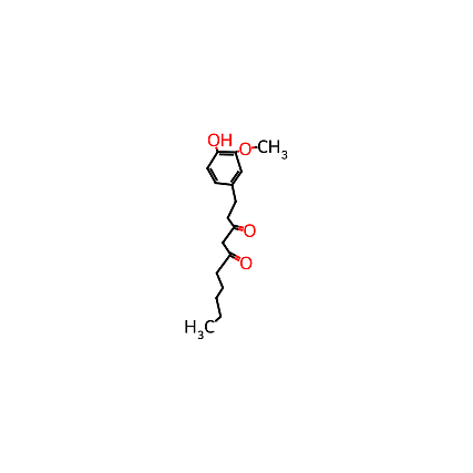 CCCCCC(=O)CC(=O)CCc1ccc(O)c(OC)c1